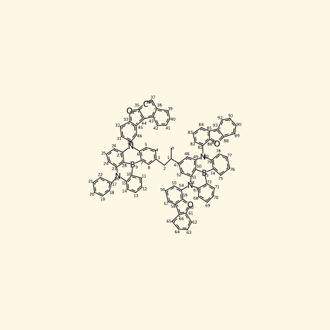 CC(Cc1ccc2c(c1)B1c3ccccc3N(c3ccccc3)c3cccc(c31)N2c1ccc2oc3ccc4ccccc4c3c2c1)c1cc2c3c(c1)N(c1cccc4c1oc1ccccc14)c1ccccc1B3c1ccccc1N2c1cccc2c1oc1ccccc12